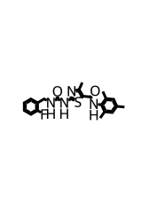 Cc1cc(C)c(NC(=O)c2sc(NC(=O)NCc3ccccc3F)nc2C)c(C)c1